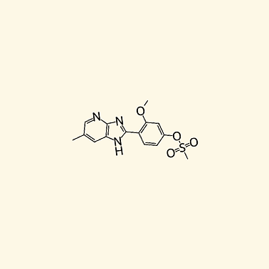 COc1cc(OS(C)(=O)=O)ccc1-c1nc2ncc(C)cc2[nH]1